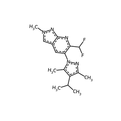 Cc1nn(-c2cc3cn(C)nc3nc2C(F)F)c(C)c1C(C)C